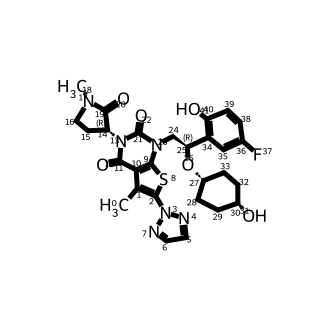 Cc1c(-n2nccn2)sc2c1c(=O)n([C@@H]1CCN(C)C1=O)c(=O)n2C[C@H](O[C@H]1CC[C@H](O)CC1)c1cc(F)ccc1O